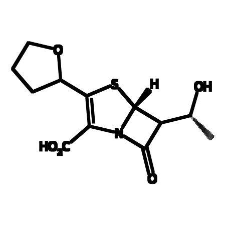 C[C@@H](O)C1C(=O)N2C(C(=O)O)=C(C3CCCO3)S[C@H]12